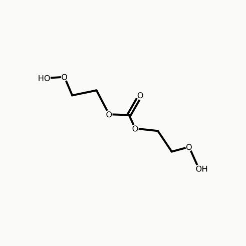 O=C(OCCOO)OCCOO